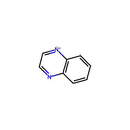 [c]1cccc2c1[N+]=CC=N2